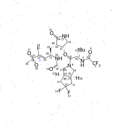 CC(C)(C)[C@H](NC(=O)C(F)(F)F)C(=O)N1C[C@H]2CC(F)(F)C[C@H]2[C@@H]1C(=O)N[C@@H](/C=C(\F)S(C)(=O)=O)C[C@H]1CCNC1=O